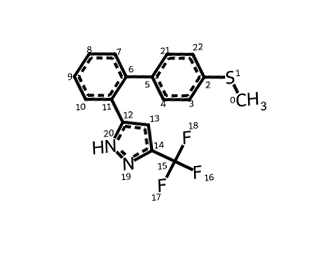 CSc1ccc(-c2ccccc2-c2cc(C(F)(F)F)n[nH]2)cc1